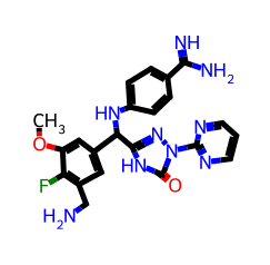 COc1cc(C(Nc2ccc(C(=N)N)cc2)c2nn(-c3ncccn3)c(=O)[nH]2)cc(CN)c1F